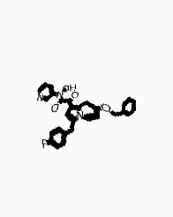 O=C(C(=O)N(O)c1cccnc1)c1cc(Cc2ccc(F)cc2)n2ccc(OCc3ccccc3)cc12